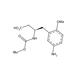 COc1ccc(N)cc1C[C@H](CC(=O)O)NC(=O)OC(C)(C)C